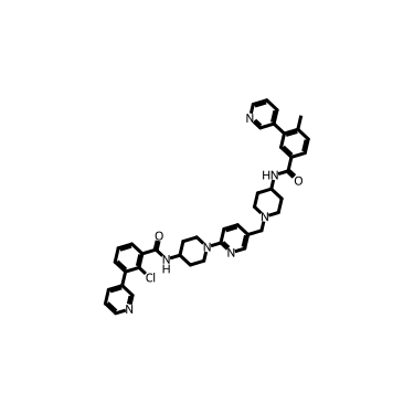 Cc1ccc(C(=O)NC2CCN(Cc3ccc(N4CCC(NC(=O)c5cccc(-c6cccnc6)c5Cl)CC4)nc3)CC2)cc1-c1cccnc1